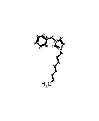 CCCCCCCC[n+]1ccn(Cc2ccccc2)c1